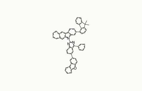 CC1(C)c2ccccc2-c2c(-c3ccc4c5cc6ccccc6cc5n(-c5nc(-c6ccccc6)c6cc(-c7ccc8oc9ccccc9c8c7)ccc6n5)c4c3)cccc21